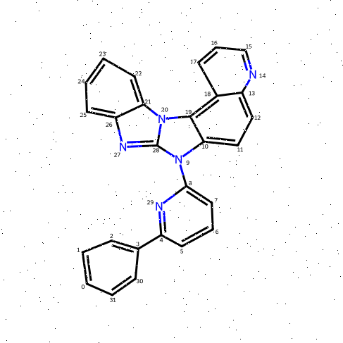 c1ccc(-c2cccc(-n3c4ccc5ncccc5c4n4c5ccccc5nc34)n2)cc1